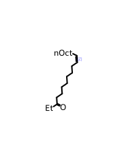 CCCCCCCC/C=C\CCCCCCCC(=O)CC